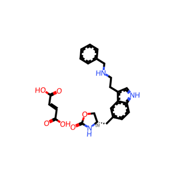 O=C(O)C=CC(=O)O.O=C1N[C@@H](Cc2ccc3[nH]cc(CCNCc4ccccc4)c3c2)CO1